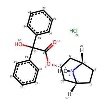 CN1[C@@H]2CC[C@H]1C[C@@H](OC(=O)C(O)(c1ccccc1)c1ccccc1)C2.Cl